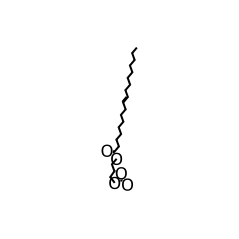 CCCCCCCCC=CCCCCCCCC(=O)OCC1COC(=O)O1